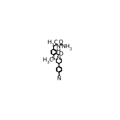 CSc1ccc(CC(C)NC(N)=O)cc1C(=O)N1CCC(c2ccc(C#N)cc2)CC1